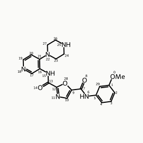 COc1cccc(NC(=O)c2cnc(C(=O)Nc3cnccc3N3CCNCC3)o2)c1